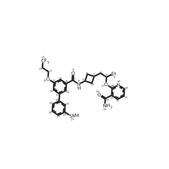 CCC(CC1CC(NC(=O)c2cc(OCCC(F)(F)F)cc(-c3cccc(SC)c3)c2)C1)Oc1ncccc1C(N)=O